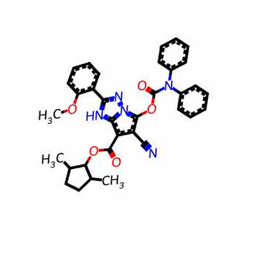 COc1ccccc1-c1nn2c(OC(=O)N(c3ccccc3)c3ccccc3)c(C#N)c(C(=O)OC3C(C)CCC3C)c2[nH]1